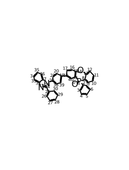 O=P1(c2ccccc2)c2ccccc2Oc2ccc(-c3ccc(-n4c(-c5ccccc5)nc5ccccc54)cc3)cc21